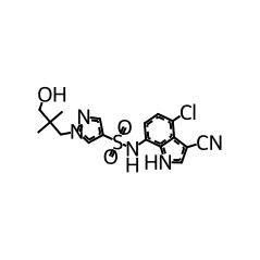 CC(C)(CO)Cn1cc(S(=O)(=O)Nc2ccc(Cl)c3c(C#N)c[nH]c23)cn1